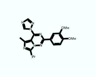 COc1ccc(-c2nc(-n3cncn3)c3c(C)nc(C(C)C)n3n2)cc1OC